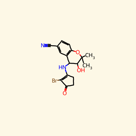 CC1(C)Oc2ccc(C#N)cc2C(NC2=C(Br)C(=O)CC2)C1O